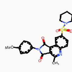 COc1ccc(N2C(=O)c3c(C)nc4ccc(S(=O)(=O)N5CCCCC5)cc4c3C2=O)cc1